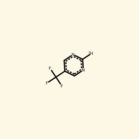 [2H]c1ncc(C(F)(F)F)cn1